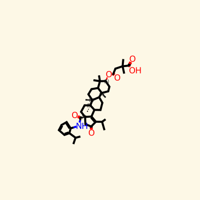 CC(C)C1=C2C3CCC4[C@@]5(C)CC[C@H](OC(=O)CC(C)(C)C(=O)O)C(C)(C)C5CC[C@@]4(C)[C@]3(C)CC[C@@]2(C(=O)Nc2ccccc2C(C)C)CC1=O